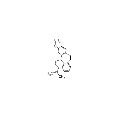 COc1ccc2c(c1)C(/C=C\CN(C)C)c1ccccc1CC2